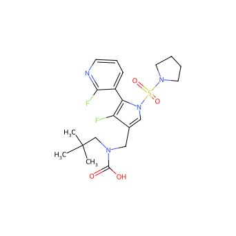 CC(C)(C)CN(Cc1cn(S(=O)(=O)N2CCCC2)c(-c2cccnc2F)c1F)C(=O)O